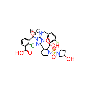 CN(Cc1ccc(F)cc1)c1nc(C2CCCN(S(=O)(=O)N3CCC(O)C3)C2C(=O)O)nn1C(=O)c1cccc(C(=O)O)c1Cl